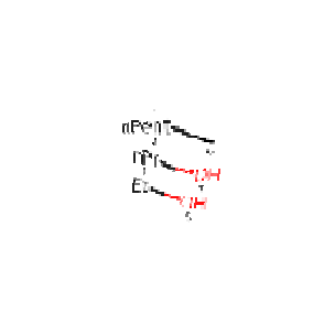 CCCCCC.CCCO.CCO